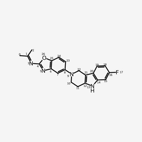 CC(C)=Nc1nc2cc(N3CCc4[nH]c5cc(F)ccc5c4C3)ccc2o1